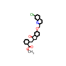 COC(=O)c1ccccc1CC1Cc2ccc(OCc3ccc4ccc(Cl)cc4n3)cc2C1=O